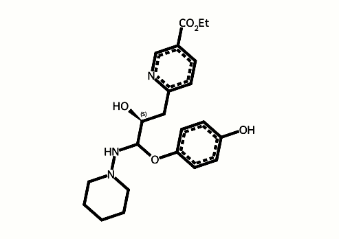 CCOC(=O)c1ccc(C[C@H](O)C(NN2CCCCC2)Oc2ccc(O)cc2)nc1